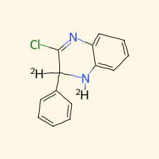 [2H]N1c2ccccc2N=C(Cl)C1([2H])c1ccccc1